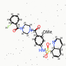 COc1cc(NS(=O)(=O)C2C=CC=C3C=CC=NC32)ccc1C(=O)N1CCN(C(=O)c2ccccc2F)CC1